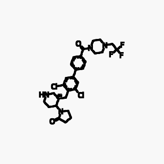 O=C(c1ccc(-c2cc(Cl)c(C[C@@H]3CNCCC3N3CCCC3=O)c(Cl)c2)cc1)N1CCN(CC(F)(F)F)CC1